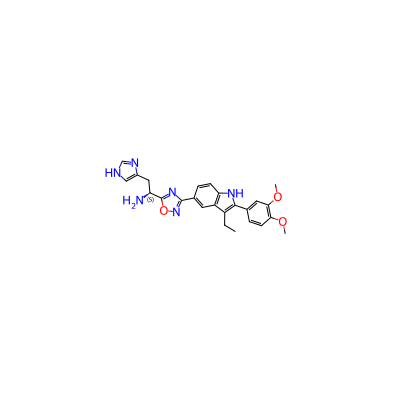 CCc1c(-c2ccc(OC)c(OC)c2)[nH]c2ccc(-c3noc([C@@H](N)Cc4c[nH]cn4)n3)cc12